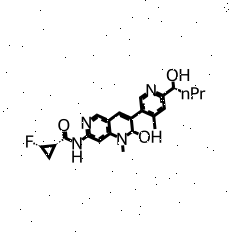 CCC[C@H](O)c1cc(C)c(C2=Cc3cnc(NC(=O)[C@@H]4C[C@@H]4F)cc3N(C)C2O)cn1